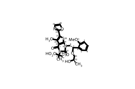 COc1ccccc1[C@@H](Cn1c(=O)n(C(C)(C)C(=O)O)c(=O)c2c(C)c(-c3ncco3)sc21)OC[C@@H](C)O